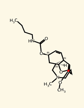 CCCCNC(=O)O[C@H]1C=C[C@@]23CCN(C)Cc4ccc(OC)c(c42)O[C@H]3C1